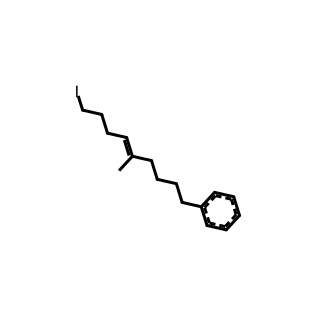 C/C(=C\CCCI)CCCCc1ccccc1